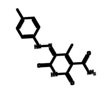 CC1=C(C(N)=O)C(=O)NC(=O)/C1=N\Nc1ccc(C)cc1